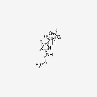 Cc1sc(NCCC(F)(F)F)nc1C(=O)NS(C)(=O)=O